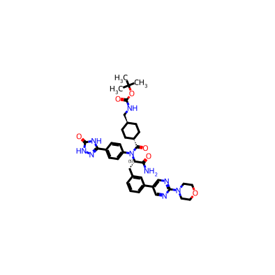 CC(C)(C)OC(=O)NC[C@H]1CC[C@H](C(=O)N(c2ccc(-c3n[nH]c(=O)[nH]3)cc2)[C@@H](Cc2cccc(-c3cnc(N4CCOCC4)nc3)c2)C(N)=O)CC1